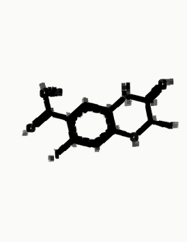 COC(=O)c1cc2c(cc1I)O[C@H](C)C(=O)N2